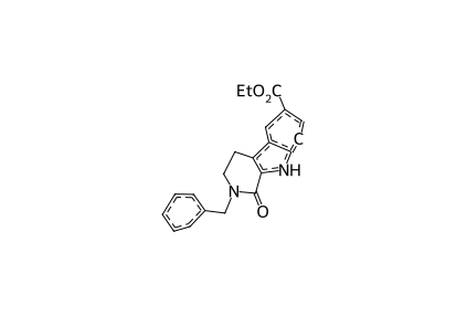 CCOC(=O)c1ccc2[nH]c3c(c2c1)CCN(Cc1ccccc1)C3=O